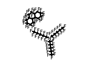 FC(F)(F)C(F)(F)C(F)(F)C(F)(F)C(F)(F)N(C(F)(F)C(F)(F)C(F)(F)C(F)(F)C(F)(F)F)C(F)(F)C(F)(F)C(F)(F)C(F)(F)C(F)(F)F.FC1(F)C(F)(F)C(F)(F)C2(F)C(F)(C1(F)F)C(F)(F)C(F)(F)C1(F)C(F)(F)C(F)(F)C(F)(F)C(F)(F)C12F